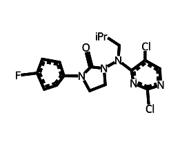 CC(C)CN(c1nc(Cl)ncc1Cl)N1CCN(c2ccc(F)cc2)C1=O